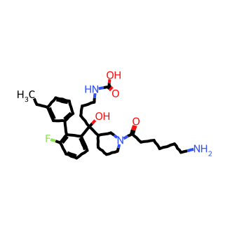 CCc1cccc(-c2c(F)cccc2C(O)(CCCNC(=O)O)C2CCCN(C(=O)CCCCCN)C2)c1